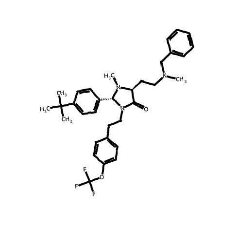 CN(CC[C@H]1C(=O)N(CCc2ccc(OC(F)(F)F)cc2)[C@H](c2ccc(C(C)(C)C)cc2)N1C)Cc1ccccc1